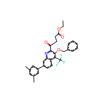 CCOC(=O)CCC(=O)c1nc2cc(-c3cc(C)cc(C)c3)ccc2c(C(F)(F)F)c1OCc1ccccc1